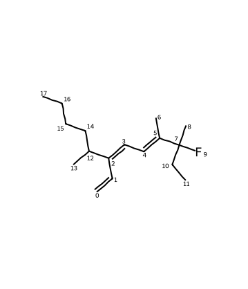 C=C/C(=C\C=C(/C)C(C)(F)CC)C(C)CCCC